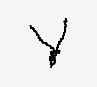 CCCCCCCCC=CCCCCCCCC(=O)N(Cn1nnc2cc(C)ccc21)C(=O)CCCCCCCC=CCCCCCCCC